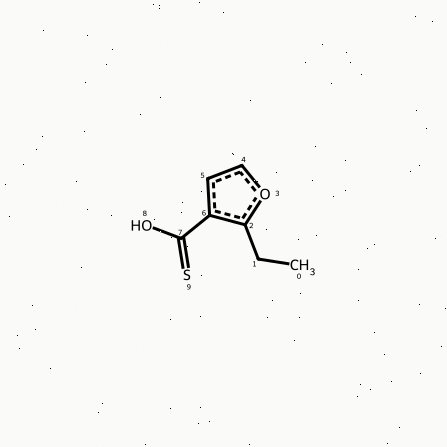 CCc1occc1C(O)=S